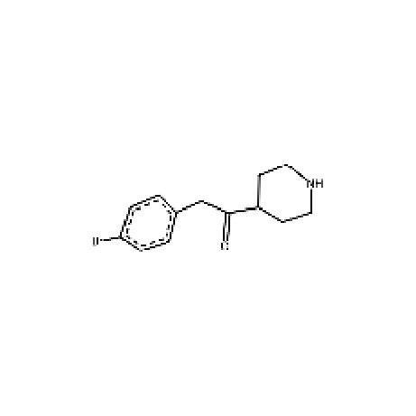 O=C(Cc1ccc(Br)cc1)C1CCNCC1